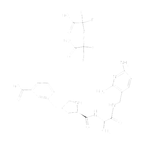 Cc1nc(N)ccc1CNC(=O)C(C)NC(=O)[C@H]1C[C@H](Cc2cccc(C(=O)O)c2)CN1.O=C(O)C(F)(F)F.O=C(O)C(F)(F)F